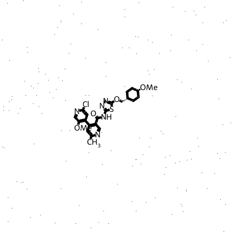 COc1cnc(Cl)cc1-c1cc(C)ncc1C(=O)Nc1nnc(OC[C@H]2CC[C@H](OC)CC2)s1